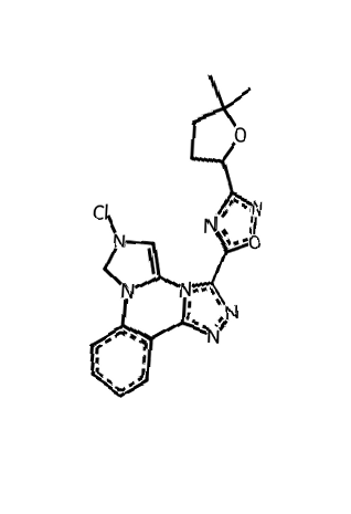 CC1(C)CCC(c2noc(-c3nnc4n3C3=CN(Cl)CN3c3ccccc3-4)n2)O1